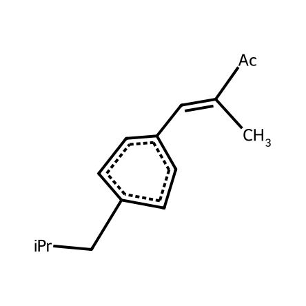 CC(=O)C(C)=Cc1ccc(CC(C)C)cc1